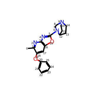 Cc1nc2nc(N3CCN4CCC3CC4)oc2cc1Oc1ccccc1